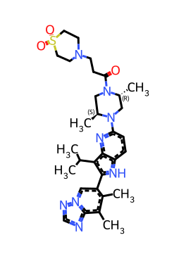 Cc1c(-c2[nH]c3ccc(N4C[C@@H](C)N(C(=O)CCN5CCS(=O)(=O)CC5)C[C@@H]4C)nc3c2C(C)C)cn2ncnc2c1C